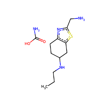 CCCNC1CCc2nc(CN)sc2C1.NC(=O)O